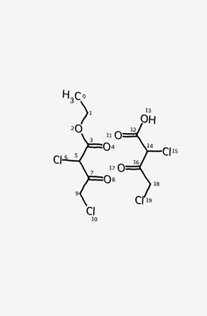 CCOC(=O)C(Cl)C(=O)CCl.O=C(O)C(Cl)C(=O)CCl